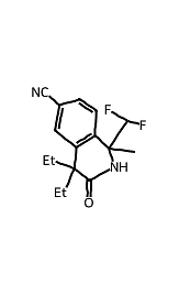 CCC1(CC)C(=O)NC(C)(C(F)F)c2ccc(C#N)cc21